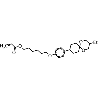 C=CC(=O)OCCCCCCOc1ccc(C2CCC3(CC2)OCC(CC)CO3)cc1